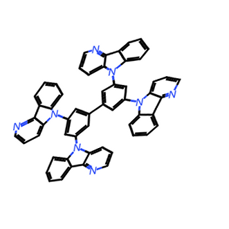 c1ccc2c(c1)c1ncccc1n2-c1cc(-c2cc(-n3c4ccccc4c4ncccc43)cc(-n3c4ccccc4c4ncccc43)c2)cc(-n2c3ccccc3c3ncccc32)c1